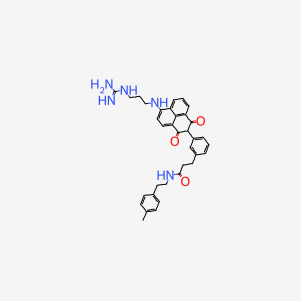 Cc1ccc(CCNC(=O)CCc2cccc(C3C(=O)c4cccc5c(NCCCNC(=N)N)ccc(c45)C3=O)c2)cc1